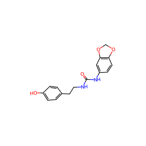 O=C(NCCc1ccc(O)cc1)Nc1ccc2c(c1)OCO2